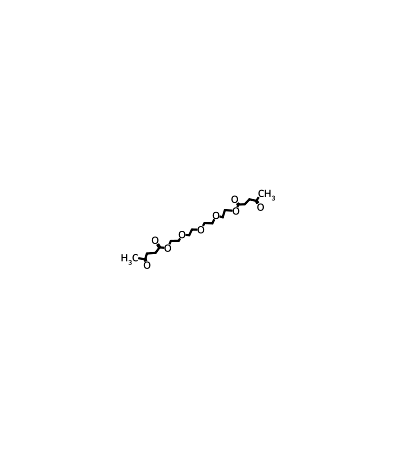 CC(=O)CCC(=O)OCCOCCOCCOCCOC(=O)CCC(C)=O